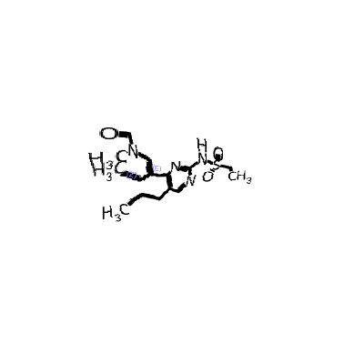 C/C=C\C(=C/N(C)C=O)c1nc(NS(=O)(=O)CC)ncc1CCC